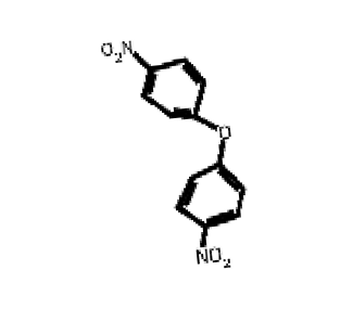 O=[N+]([O-])c1ccc(Oc2ccc([N+](=O)[O-])cc2)cc1